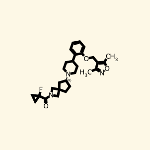 Cc1noc(C)c1COc1ccccc1C1CCN([C@@H]2CCC3(C2)CN(C(=O)C2(F)CC2)C3)CC1